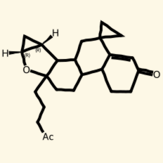 CC(=O)CCCC12CCC3C4CCC(=O)C=C4C4(CC4)CC3C1[C@H]1C[C@H]1O2